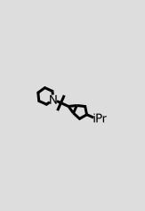 CC(C)C1CC2C(C1)C2C(C)(C)N1CCCCC1